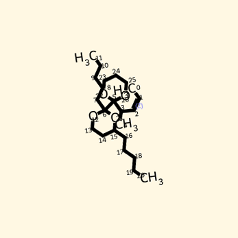 C/C=C\C(C)C1(C2(CCCCC)OCCC(CCCCC)O2)OCCCO1